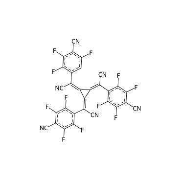 N#CC(=C1C(=C(\C#N)c2cc(F)c(C#N)c(F)c2F)/C1=C(\C#N)c1c(F)c(F)c(C#N)c(F)c1F)c1c(F)c(F)c(C#N)c(F)c1F